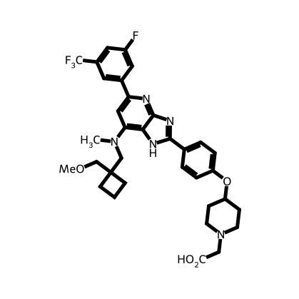 COCC1(CN(C)c2cc(-c3cc(F)cc(C(F)(F)F)c3)nc3nc(-c4ccc(OC5CCN(CC(=O)O)CC5)cc4)[nH]c23)CCC1